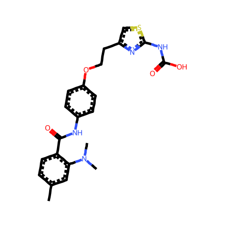 Cc1ccc(C(=O)Nc2ccc(OCCc3csc(NC(=O)O)n3)cc2)c(N(C)C)c1